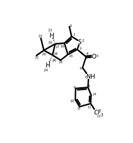 Cc1sc(C(=O)CNc2cccc(C(F)(F)F)c2)c2c1[C@H]1[C@@H](C2)C1(C)C